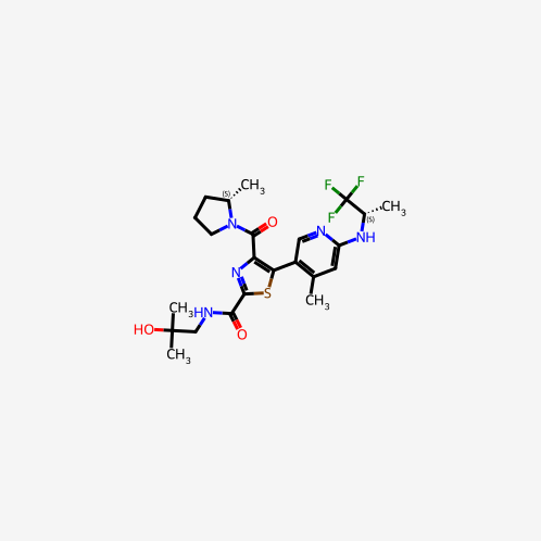 Cc1cc(N[C@@H](C)C(F)(F)F)ncc1-c1sc(C(=O)NCC(C)(C)O)nc1C(=O)N1CCC[C@@H]1C